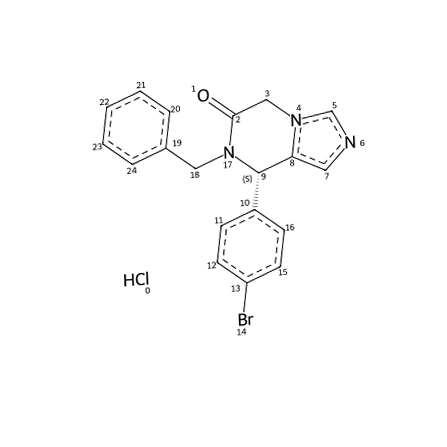 Cl.O=C1Cn2cncc2[C@H](c2ccc(Br)cc2)N1Cc1ccccc1